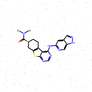 CCN(C(=O)[C@H]1CCc2c(sc3ncnc(Nc4cc5cn[nH]c5cn4)c23)C1)C(C)C